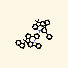 CC1(C)c2ccccc2-c2c(N(c3cc(-c4ccccc4)cc(-c4ccccc4)c3)c3ccc4c(c3)-c3cccc5c3-c3c(ccc6c7ccccc7n-4c36)C5(C)c3cccc4ccccc34)cccc21